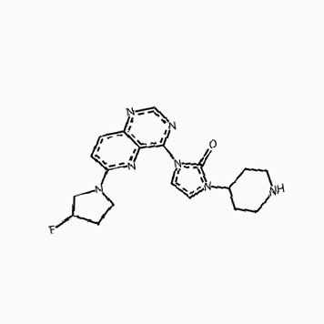 O=c1n(-c2ncnc3ccc(N4CCC(F)C4)nc23)ccn1C1CCNCC1